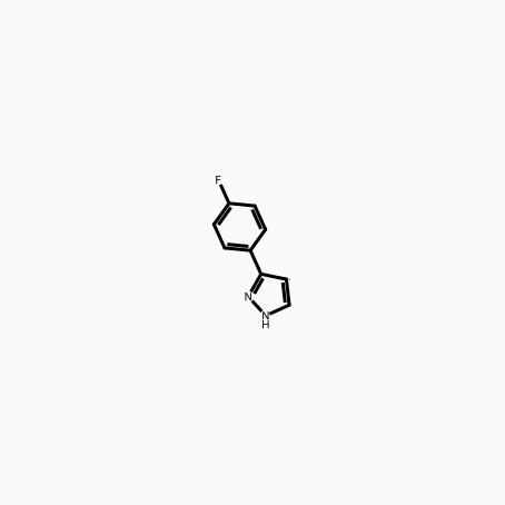 Fc1ccc(-c2[c]c[nH]n2)cc1